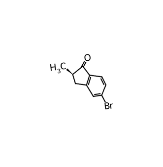 C[C@@H]1Cc2cc(Br)ccc2C1=O